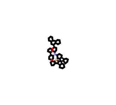 c1ccc(-c2ccccc2N(c2ccc(-c3cc4ccccc4c4ccccc34)cc2)c2ccc3c(c2)C2(c4ccccc4-3)c3ccccc3-c3c2sc2ccccc32)cc1